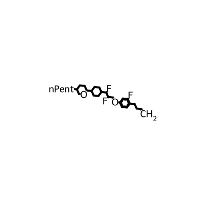 C=CCCc1ccc(OCC(F)C(F)C2CCC(C3CCC(CCCCC)CO3)CC2)cc1F